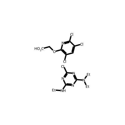 CCNc1nc(Cl)nc(N(CC)CC)n1.O=C(O)COc1nc(Cl)c(Cl)cc1Cl